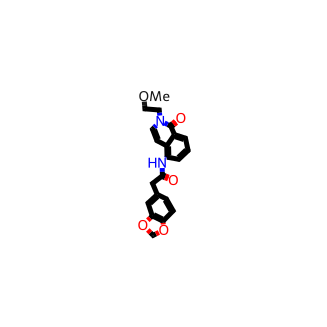 COCCn1ccc2c(NC(=O)Cc3ccc4c(c3)OCO4)cccc2c1=O